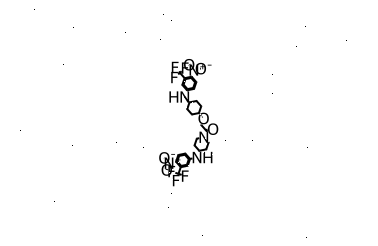 O=C(CO[C@H]1CC[C@H](Nc2ccc([N+](=O)[O-])c(C(F)(F)F)c2)CC1)N1CCC(Nc2ccc([N+](=O)[O-])c(C(F)(F)F)c2)CC1